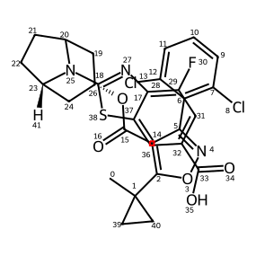 CC1(c2onc(-c3c(Cl)cccc3Cl)c2C(=O)O[C@H]2CC3CC[C@@H](C2)N3c2nc3c(F)cc(C(=O)O)cc3s2)CC1